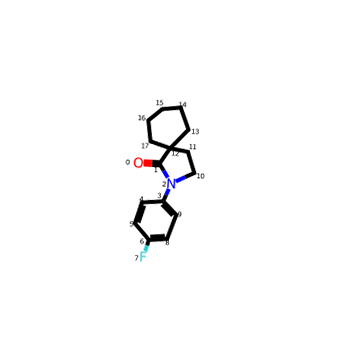 O=C1N(c2ccc(F)cc2)CCC12CCCCC2